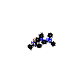 c1ccc(-c2nc(-c3ccccc3)nc(-c3cccc(-n4c5ccccc5c5cc6oc7nc(-c8ccccc8)nc(-c8ccccc8)c7c6cc54)c3)n2)cc1